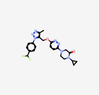 Cc1nnn(-c2ccc(C(F)F)cc2)c1COc1ccc(N2CCN(C3CC3)C(=O)C2)nn1